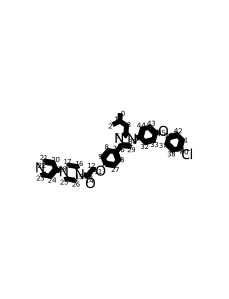 CC(C)Cc1nc(-c2ccc(OCC(=O)N3CCN(c4ccncc4)CC3)cc2)cn1-c1ccc(Oc2ccc(Cl)cc2)cc1